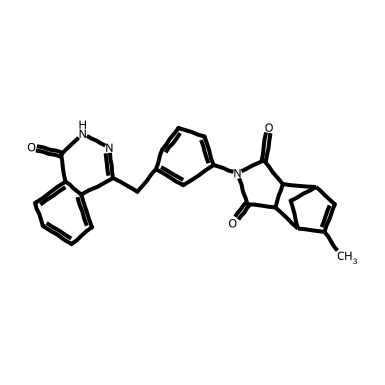 CC1=CC2CC1C1C(=O)N(c3cccc(Cc4n[nH]c(=O)c5ccccc45)c3)C(=O)C21